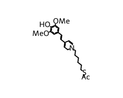 COc1cc(/C=C/C2=CCN(CCCCCCSC(C)=O)C=C2)cc(OC)c1O